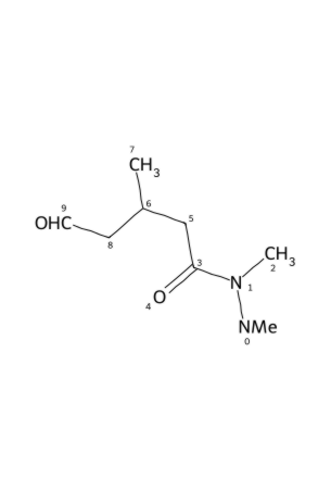 CNN(C)C(=O)CC(C)CC=O